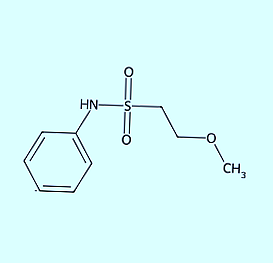 COCCS(=O)(=O)Nc1cc[c]cc1